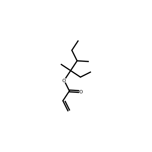 C=CC(=O)OC(C)(CC)C(C)CC